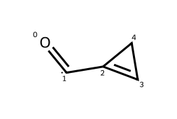 O=[C]C1=CC1